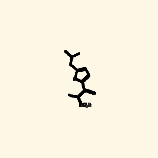 CCOC(=O)C(C)C(=O)c1ccc(CN(C)C)o1